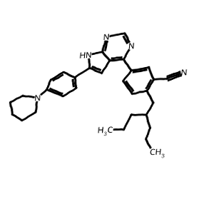 CCCC(CCC)Cc1ccc(-c2ncnc3[nH]c(-c4ccc(N5CCCCC5)cc4)cc23)cc1C#N